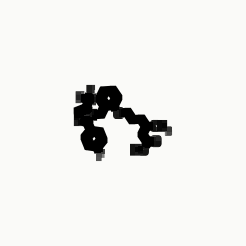 CC(CCCOc1ccccc1Cn1c(C(F)(F)F)cnc1-c1ccc(F)cc1)CC(=O)O